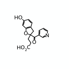 O=C(O)CCC1(C(=O)c2cccnc2)Cc2ccc(O)cc2O1